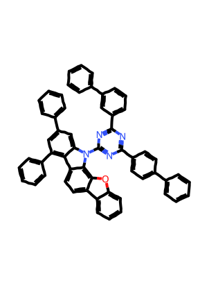 c1ccc(-c2ccc(-c3nc(-c4cccc(-c5ccccc5)c4)nc(-n4c5cc(-c6ccccc6)cc(-c6ccccc6)c5c5ccc6c7ccccc7oc6c54)n3)cc2)cc1